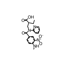 CCC(CN(C(=O)c1ccc(NC)c([N+](=O)[O-])c1)c1ccccn1)C(=O)O